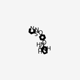 CC(=O)N1[C@@H]2CC[C@H]1C[C@H](NOc1ccc(Oc3nc4ncccc4s3)cc1)C2